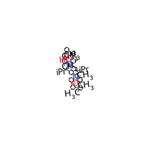 Cc1ccc(C)c(N(c2cccc(-c3cccc(-c4ccccc4C)c3)c2O)c2cc(C(C)C)c3ccc4c(N(c5cc(C)ccc5C)c5cccc6c5oc5c(-c7ccccc7C)cccc56)cc(C(C)C)c5ccc2c3c54)c1